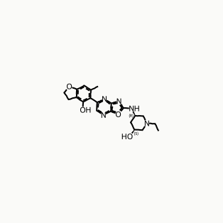 CCN1C[C@@H](O)C[C@@H](Nc2nc3nc(-c4c(C)cc5c(c4O)CCO5)cnc3o2)C1